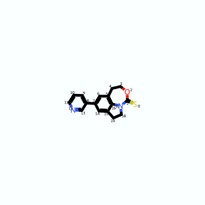 S=C1OCCc2cc(-c3cccnc3)cc3c2N1CC3